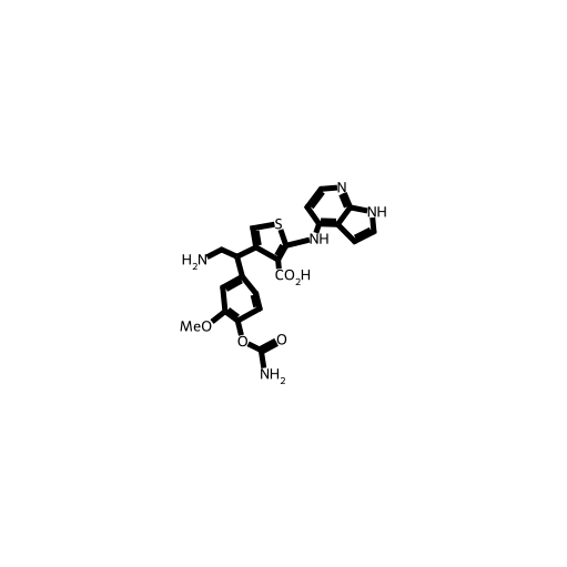 COc1cc(C(CN)c2csc(Nc3ccnc4[nH]ccc34)c2C(=O)O)ccc1OC(N)=O